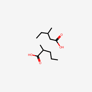 CCC(C)CC(=O)O.CCCC(C)C(=O)O